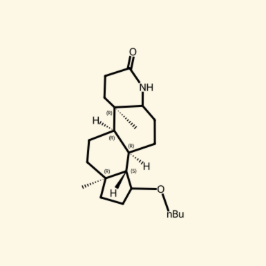 CCCCOC1CC[C@@]2(C)CC[C@@H]3[C@@H](CCC4NC(=O)CC[C@@]43C)[C@H]12